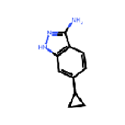 Nc1n[nH]c2cc(C3CC3)ccc12